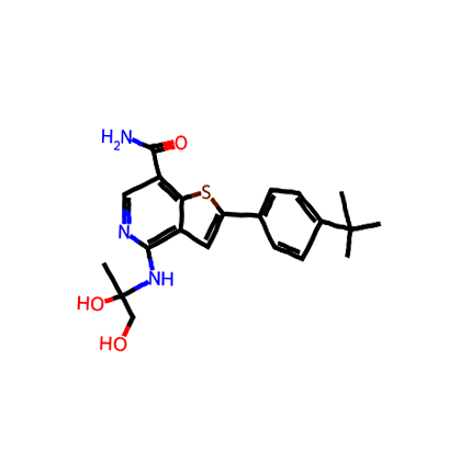 CC(O)(CO)Nc1ncc(C(N)=O)c2sc(-c3ccc(C(C)(C)C)cc3)cc12